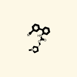 CN1CC[C@@H](COC(=O)Nc2ccccc2-c2cccc(C#N)c2)C1